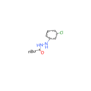 CCCCC(=O)NNc1cccc(Cl)c1